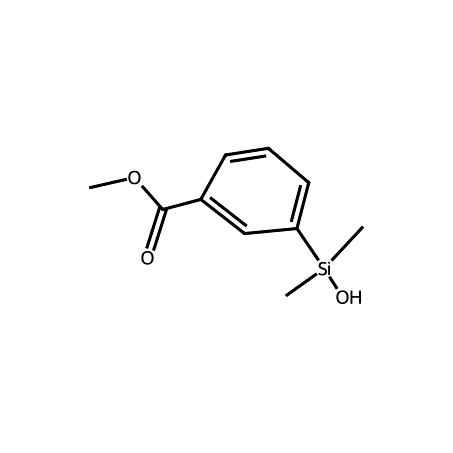 COC(=O)c1cccc([Si](C)(C)O)c1